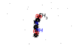 COC(=O)c1ccc2c(ccn2Cc2cccc(NC(=O)OC3CCCC3)c2)c1